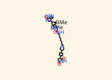 COc1cc(-c2cn(C)c(=O)c3[nH]ncc23)cc(OC)c1CNCC(=O)NCCCCCCCCN1CCC(c2ccc(C3CCC(=O)NC3=O)cc2)CC1